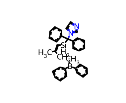 CB(c1ccccc1)c1ccccc1.CC(C)=C[SiH2]C(c1ccccc1)(c1ccccc1)n1ccnc1